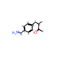 CC(=O)C(C)Cc1ccc(CN)cc1